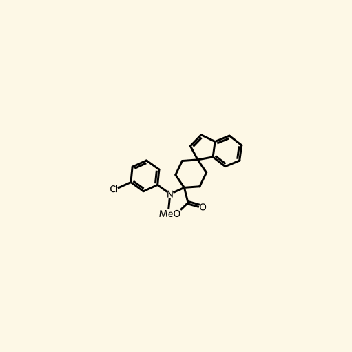 COC(=O)C1(N(C)c2cccc(Cl)c2)CCC2(C=Cc3ccccc32)CC1